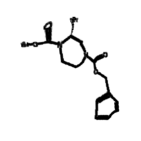 CCC[C@@H]1CN(C(=O)OCc2ccccc2)CCN1C(=O)OC(C)(C)C